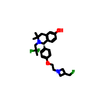 CC(F)(F)CN1[C@@H](c2ccc(OCCN3CC(CF)C3)cc2)c2ccc(O)cc2CC1(C)C